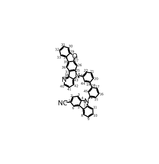 N#Cc1ccc2c(c1)c1ccccc1n2-c1cccc(-c2cccc(-n3c4cc5oc6ccccc6c5cc4c4ncccc43)c2)c1